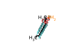 CCC(F)C(F)(F)C(F)(F)C(F)(F)C(F)(F)C(F)(F)C(F)(F)C(F)(F)OC(=O)C(C)OP